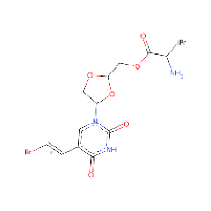 CC(C)C(N)C(=O)OCC1OCC(n2cc(/C=C/Br)c(=O)[nH]c2=O)O1